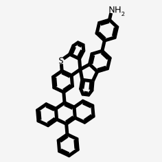 Nc1ccc(-c2ccc3c(c2)C2(c4ccccc4Sc4ccc(-c5c6ccccc6c(-c6ccccc6)c6ccccc56)cc42)c2ccccc2-3)cc1